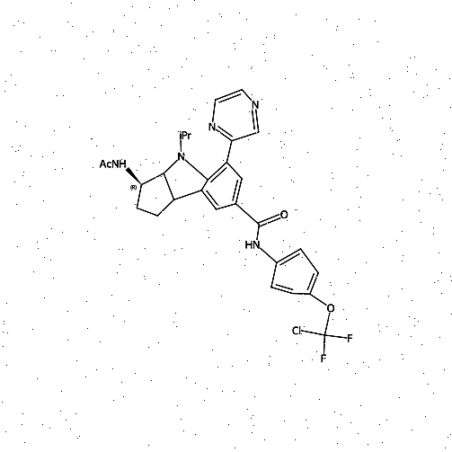 CC(=O)N[C@@H]1CCC2c3cc(C(=O)Nc4ccc(OC(F)(F)Cl)cc4)cc(-c4cnccn4)c3N(C(C)C)C21